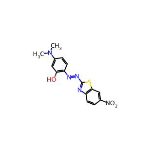 CN(C)c1ccc(/N=N/c2nc3ccc([N+](=O)[O-])cc3s2)c(O)c1